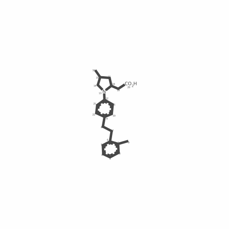 Cc1ccccc1CCc1ccc(N2CC(C)CC2CC(=O)O)cc1